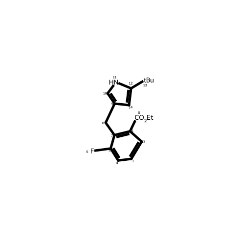 CCOC(=O)c1cccc(F)c1Cc1c[nH]c(C(C)(C)C)c1